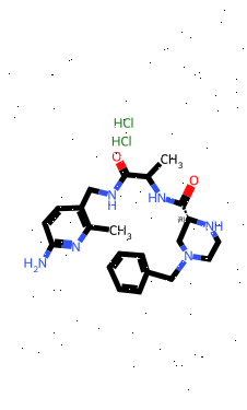 Cc1nc(N)ccc1CNC(=O)C(C)NC(=O)[C@H]1CN(Cc2ccccc2)CCN1.Cl.Cl